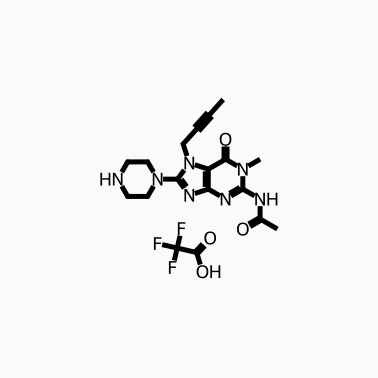 CC#CCn1c(N2CCNCC2)nc2nc(NC(C)=O)n(C)c(=O)c21.O=C(O)C(F)(F)F